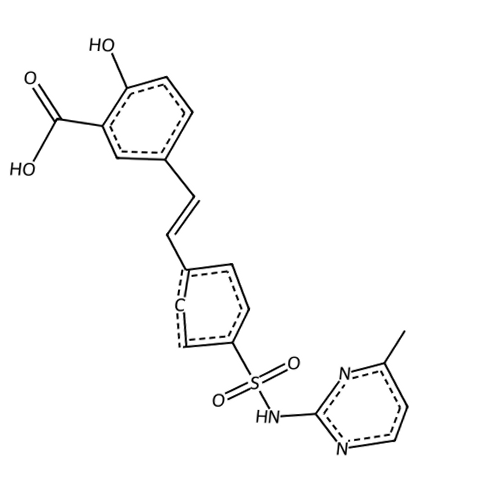 Cc1ccnc(NS(=O)(=O)c2ccc(C=Cc3ccc(O)c(C(=O)O)c3)cc2)n1